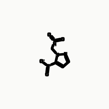 O=[N+]([O-])c1ccnn1C[SH](=O)=O